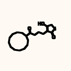 O=C1SCC(O)=C1CCCC(=O)C1CCCCCCCCCCC1